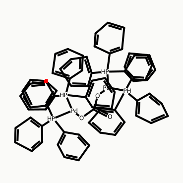 O=C([O][Pd]([PH](c1ccccc1)(c1ccccc1)c1ccccc1)[PH](c1ccccc1)(c1ccccc1)c1ccccc1)[O][Pd]([PH](c1ccccc1)(c1ccccc1)c1ccccc1)[PH](c1ccccc1)(c1ccccc1)c1ccccc1